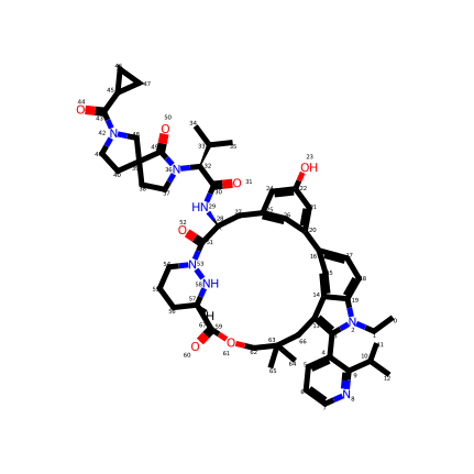 CCn1c(-c2cccnc2C(C)C)c2c3cc(ccc31)-c1cc(O)cc(c1)C[C@H](NC(=O)[C@H](C(C)C)N1CCC3(CCN(C(=O)C4CC4)C3)C1=O)C(=O)N1CCC[C@H](N1)C(=O)OCC(C)(C)C2